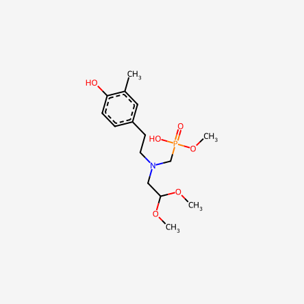 COC(CN(CCc1ccc(O)c(C)c1)CP(=O)(O)OC)OC